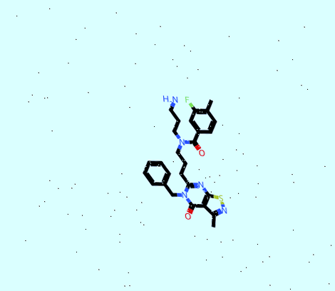 Cc1ccc(C(=O)N(CCCN)CCCc2nc3snc(C)c3c(=O)n2Cc2ccccc2)cc1F